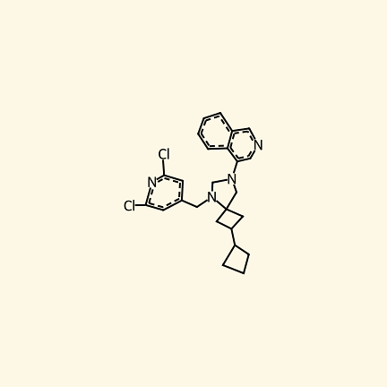 Clc1cc(CN2CN(c3cncc4ccccc34)CC23CC(C2CCC2)C3)cc(Cl)n1